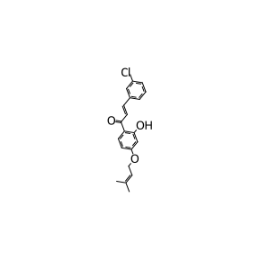 CC(C)=CCOc1ccc(C(=O)/C=C/c2cccc(Cl)c2)c(O)c1